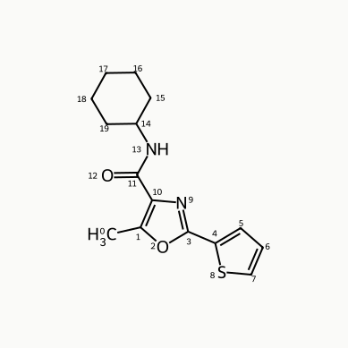 Cc1oc(-c2cccs2)nc1C(=O)NC1CCCCC1